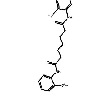 COc1ccccc1NC(=O)CCCCCC(=O)Nc1ccccc1N